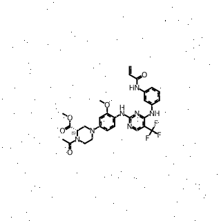 C=CC(=O)Nc1cccc(Nc2nc(Nc3ccc(N4CCN(C(C)=O)[C@H](C(=O)OC)C4)cc3OC)ncc2C(F)(F)F)c1